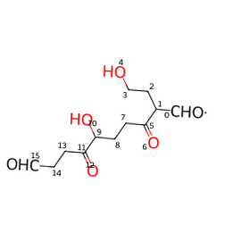 O=[C]C(CCO)C(=O)CCC(O)C(=O)CCC=O